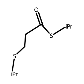 CC(C)SCCC(=O)SC(C)C